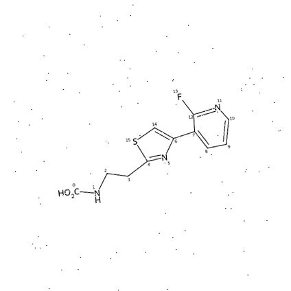 O=C(O)NCCc1nc(-c2cccnc2F)cs1